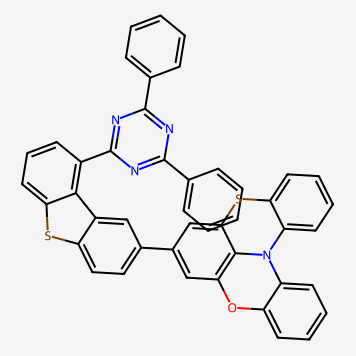 c1ccc(-c2nc(-c3ccccc3)nc(-c3cccc4sc5ccc(-c6cc7c8c(c6)Sc6ccccc6N8c6ccccc6O7)cc5c34)n2)cc1